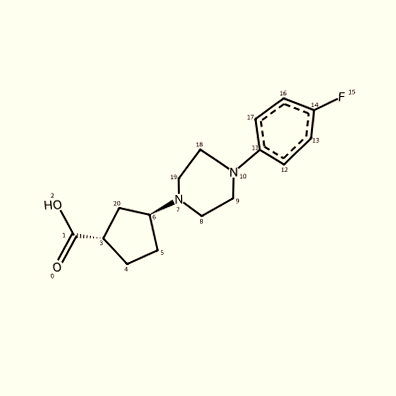 O=C(O)[C@H]1CC[C@H](N2CCN(c3ccc(F)cc3)CC2)C1